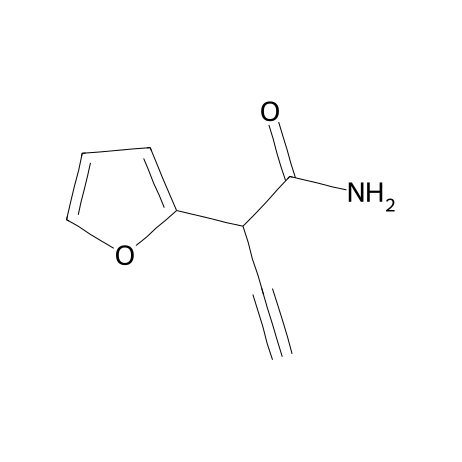 C#CC(C(N)=O)c1ccco1